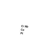 [Co].[Cr].[Nb].[Pt]